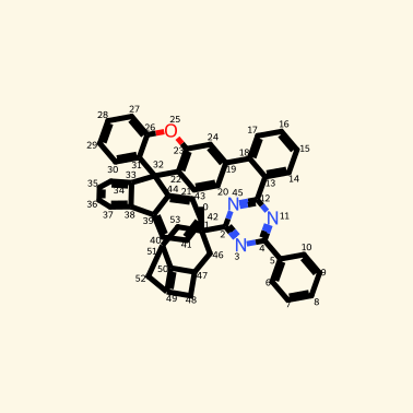 CC1(c2nc(-c3ccccc3)nc(-c3ccccc3-c3ccc4c(c3)Oc3ccccc3C43c4ccccc4-c4ccccc43)n2)CC2CC3=C2C(C3)C1